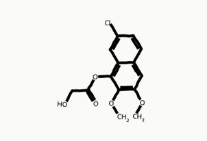 COc1cc2ccc(Cl)cc2c(OC(=O)CO)c1OC